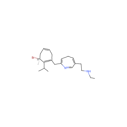 CCNCCC1=CCC=C(CC2=C(C(C)C)[C@@](C)(Br)CC=CC2)N=C1